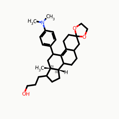 CN(C)c1ccc(C2C[C@@]3(C)C(CCCO)CC[C@H]3C3CCC4CC5(CCC4=C23)OCCO5)cc1